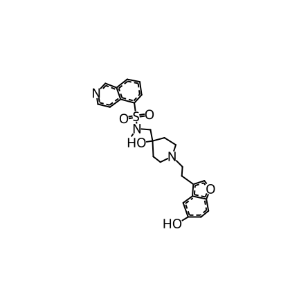 CN(CC1(O)CCN(CCc2coc3ccc(O)cc23)CC1)S(=O)(=O)c1cccc2cnccc12